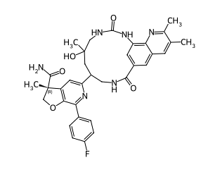 Cc1cc2cc3cc(c2nc1C)NC(=O)NCC(C)(O)CC(c1cc2c(c(-c4ccc(F)cc4)n1)OC[C@]2(C)C(N)=O)CNC3=O